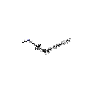 CCCC/C=C\CCCCCCCC(=O)NCCCC[C@@H](C)NC(=O)CCCCCCCCCCCCCCCCC